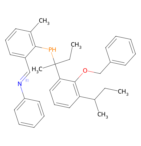 CCC(C)c1cccc(C(C)(CC)Pc2c(C)cccc2/C=N/c2ccccc2)c1OCc1ccccc1